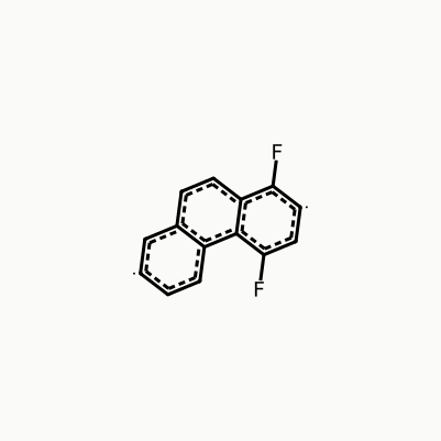 Fc1[c]cc(F)c2c1ccc1c[c]ccc12